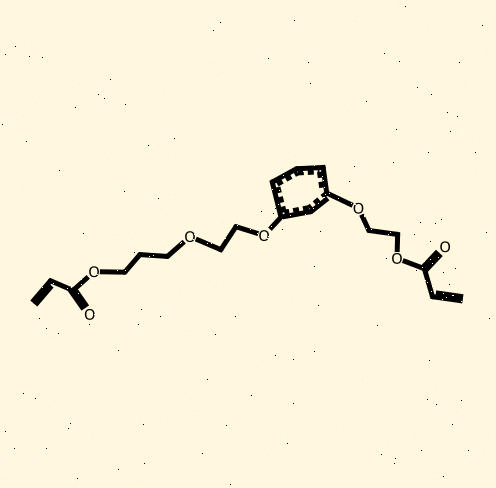 C=CC(=O)OCCCOCCOc1cccc(OCCOC(=O)C=C)c1